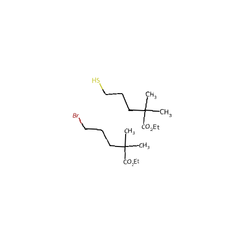 CCOC(=O)C(C)(C)CCCBr.CCOC(=O)C(C)(C)CCCS